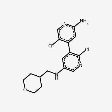 Nc1cc(-c2cc(NCC3CCOCC3)cnc2Cl)c(Cl)cn1